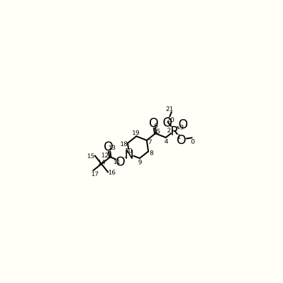 COP(=O)(CC(=O)C1CCN(OC(=O)C(C)(C)C)CC1)OC